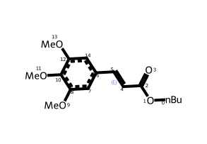 CCCCOC(=O)/C=C/c1cc(OC)c(OC)c(OC)c1